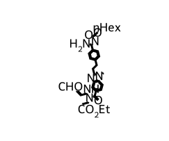 CCCCCCOC(=O)/N=C(\N)c1ccc(CCc2nc3cc(C(=O)N(CCC(=O)OCC)C(=N)/C=C\C=O)ccc3n2C)cc1